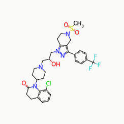 CS(=O)(=O)N1CCc2c(c(-c3ccc(C(F)(F)F)cc3)nn2CC(O)CN2CCC(N3C(=O)CCc4cccc(Cl)c43)CC2)C1